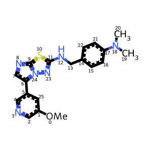 COc1cncc(-c2cnc3sc(NCc4ccc(N(C)C)cc4)nn23)c1